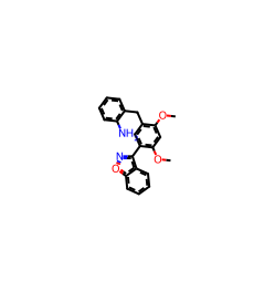 COc1cc(OC)c(-c2noc3ccccc23)cc1Cc1ccccc1N